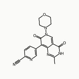 Cc1nc2c(-c3ccc(C#N)nc3)c(=O)n(N3CCOCC3)cc2c(=O)[nH]1